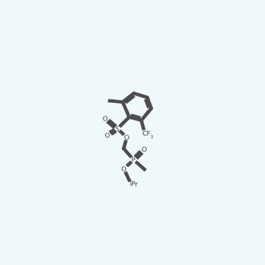 Cc1cccc(C(F)(F)F)c1S(=O)(=O)OCP(C)(=O)OC(C)C